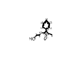 CC1=[N+]([O-])C(OCCO)=C1c1ccccc1